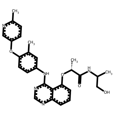 Cc1ccc(Oc2ccc(Nc3ncnc4cccc(O[C@H](C)C(=O)NC(C)CO)c34)cc2C)cn1